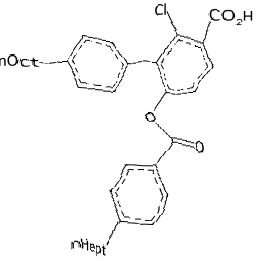 CCCCCCCCc1ccc(-c2c(OC(=O)c3ccc(CCCCCCC)cc3)ccc(C(=O)O)c2Cl)cc1